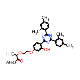 COC(=O)C(C)OCCOc1ccc(-c2nc(-c3ccc(C)cc3C)nc(-c3ccc(C)cc3C)n2)c(O)c1